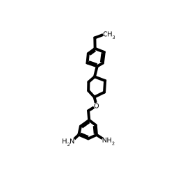 CCc1ccc(C2CCC(OCc3cc(N)cc(N)c3)CC2)cc1